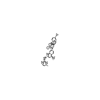 Cc1ccnc([C@H]2C[C@@H]2c2cc(N(C)C)c3ccc(N(Cc4cn5cc(C6CC6)ccc5n4)C(=O)O)cc3n2)n1